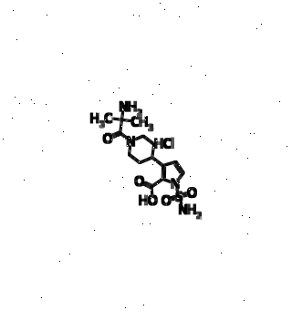 CC(C)(N)C(=O)N1CCC(c2ccn(S(N)(=O)=O)c2C(=O)O)CC1.Cl